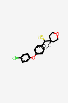 O=C(O)C1(C(S)c2ccc(Oc3ccc(Cl)cc3)cc2)CCOCC1